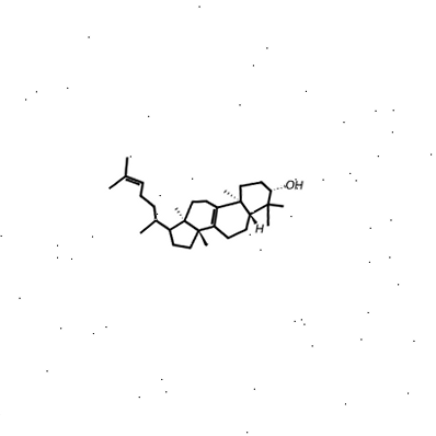 CC(C)=CCCC(C)C1CC[C@@]2(C)C3=C(CC[C@]12C)[C@@]1(C)CC[C@H](O)C(C)(C)[C@@H]1CC3